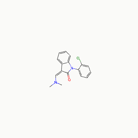 CN(C)/C=C1\C(=O)N(c2ccccc2Cl)c2ccccc21